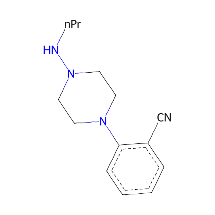 CCCNN1CCN(c2ccccc2C#N)CC1